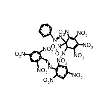 O=[N+]([O-])C1=C([N+](=O)[O-])C([N+](=O)[O-])C(N=Nc2ccccc2)([N+](=O)[O-])C([N+](=O)[O-])=C1[N+](=O)[O-].O=[N+]([O-])c1cc([N+](=O)[O-])c(N=Nc2c([N+](=O)[O-])cc([N+](=O)[O-])cc2[N+](=O)[O-])c([N+](=O)[O-])c1